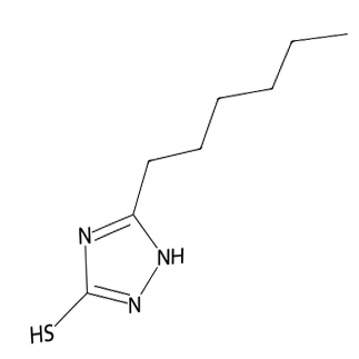 CCCCCCc1nc(S)n[nH]1